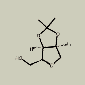 CC1(C)O[C@@H]2[C@H](CO)OC[C@@H]2O1